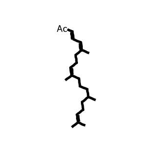 CC(=O)C=CC=C(C)CCC=C(C)CCCC(C)CCC=C(C)C